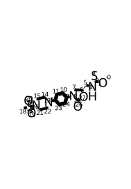 COC(=S)NC[C@H]1CN(c2ccc(N3CCN(S(C)(=O)=O)CC3)cc2)C(=O)O1